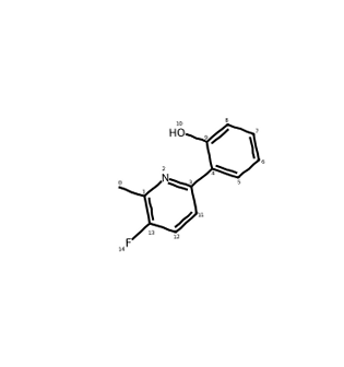 Cc1nc(-c2ccccc2O)ccc1F